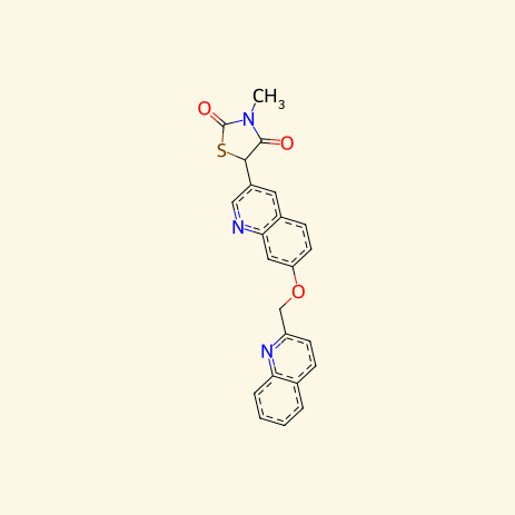 CN1C(=O)SC(c2cnc3cc(OCc4ccc5ccccc5n4)ccc3c2)C1=O